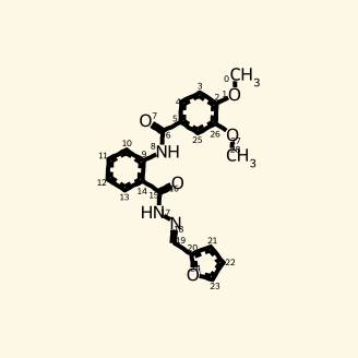 COc1ccc(C(=O)Nc2ccccc2C(=O)NN=Cc2ccco2)cc1OC